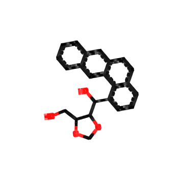 OCC1OCOC1C(O)c1cccc2ccc3cc4ccccc4cc3c12